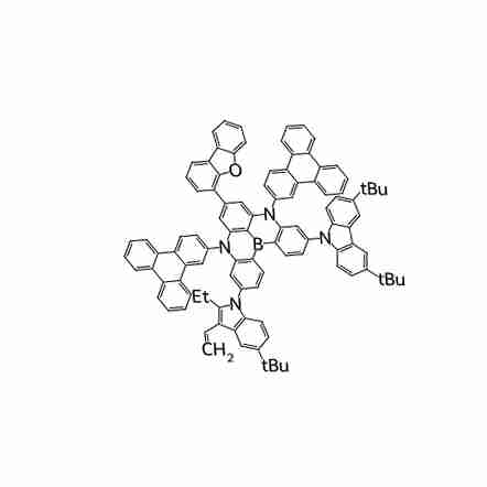 C=Cc1c(CC)n(-c2ccc3c(c2)N(c2ccc4c5ccccc5c5ccccc5c4c2)c2cc(-c4cccc5c4oc4ccccc45)cc4c2B3c2ccc(-n3c5ccc(C(C)(C)C)cc5c5cc(C(C)(C)C)ccc53)cc2N4c2ccc3c4ccccc4c4ccccc4c3c2)c2ccc(C(C)(C)C)cc12